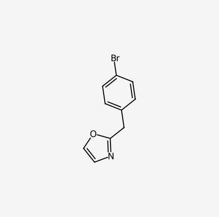 Brc1ccc(Cc2ncco2)cc1